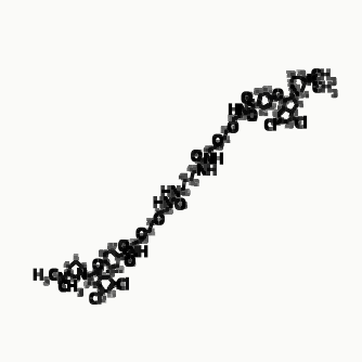 CN(C)[C@@H]1CCCN([C@H]2Cc3c(Cl)cc(Cl)cc3[C@@H]2Oc2ccc(S(=O)(=O)NCCOCCOCCNC(=O)NCCCCNC(=O)NCCOCCOCCNS(=O)(=O)c3ccc(O[C@H]4c5cc(Cl)cc(Cl)c5C[C@@H]4N4CCC[C@@H](N(C)C)C4)cc3)cc2)C1